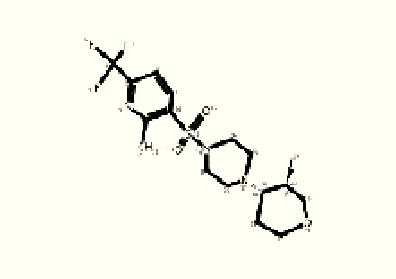 Cc1nc(C(F)(F)F)ccc1S(=O)(=O)N1CCN([C@H]2CCOC[C@@H]2F)CC1